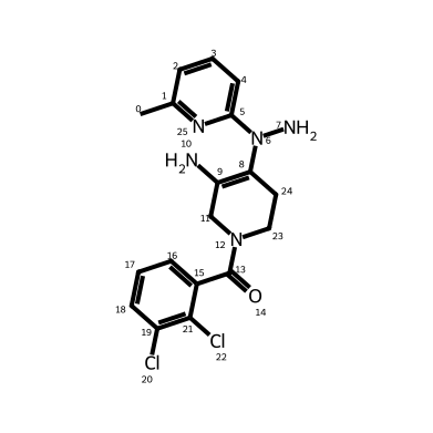 Cc1cccc(N(N)C2=C(N)CN(C(=O)c3cccc(Cl)c3Cl)CC2)n1